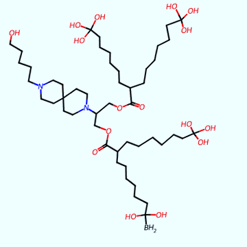 BC(O)(O)CCCCCCC(CCCCCCC(O)(O)O)C(=O)OCC(COC(=O)C(CCCCCCC(O)(O)O)CCCCCCC(O)(O)O)N1CCC2(CCN(CCCCCO)CC2)CC1